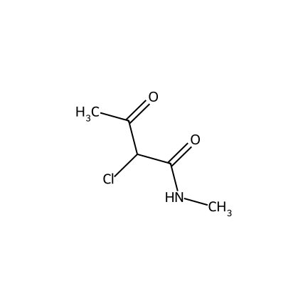 CNC(=O)C(Cl)C(C)=O